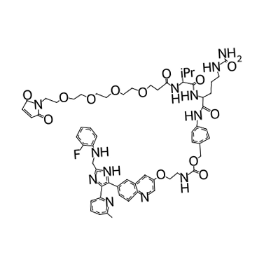 Cc1cccc(-c2nc(CNc3ccccc3F)[nH]c2-c2ccc3ncc(OCCNC(=O)OCc4ccc(NC(=O)C(CCCNC(N)=O)NC(=O)C(NC(=O)CCOCCOCCOCCOCCN5C(=O)C=CC5=O)C(C)C)cc4)cc3c2)n1